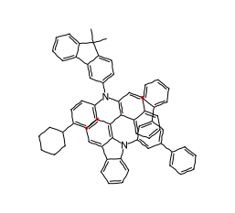 CC1(C)c2ccccc2-c2cc(N(c3ccc(C4CCCCC4)cc3)c3ccc4ccccc4c3-c3cccc4c5ccccc5n(-c5cc(-c6ccccc6)cc(-c6ccccc6)c5)c34)ccc21